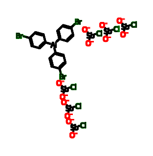 Brc1cc[c]([Al]([c]2ccc(Br)cc2)[c]2ccc(Br)cc2)cc1.[O-][Sb]([O-])[Cl].[O-][Sb]([O-])[Cl].[O-][Sb]([O-])[Cl].[O-][Sb]([O-])[Cl].[O-][Sb]([O-])[Cl].[O-][Sb]([O-])[Cl]